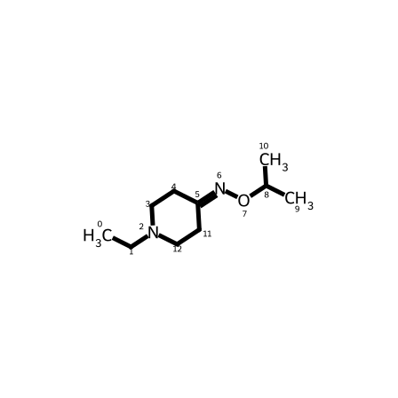 CCN1CCC(=NOC(C)C)CC1